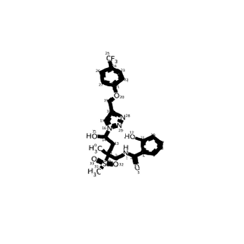 CC(CNC(=O)c1ccccc1O)(CC(O)n1cc(COc2ccc(C(F)(F)F)cc2)nn1)S(C)(=O)=O